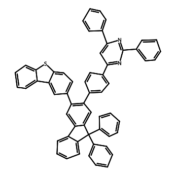 c1ccc(-c2cc(-c3ccc(-c4cc5c(cc4-c4ccc6sc7ccccc7c6c4)-c4ccccc4C5(c4ccccc4)c4ccccc4)cc3)nc(-c3ccccc3)n2)cc1